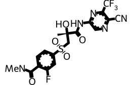 CNC(=O)c1ccc(S(=O)(=O)C[C@](C)(O)C(=O)Nc2cnc(C#N)c(C(F)(F)F)n2)cc1F